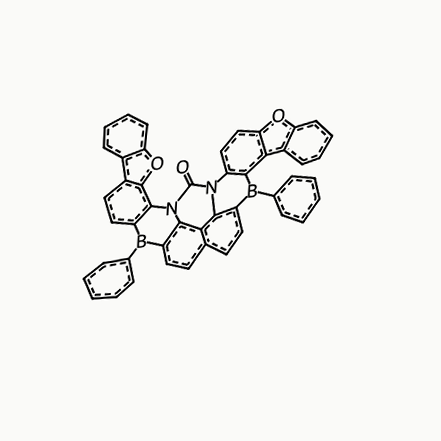 O=C1N2c3ccc4oc5ccccc5c4c3B(c3ccccc3)c3ccc4ccc5c(c4c32)N1c1c(ccc2c1oc1ccccc12)B5c1ccccc1